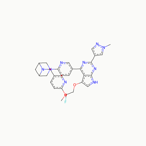 COc1ccc(CN2C3CC2CN(c2ccc(-c4nc(-c5cnn(C)c5)nc5[nH]cc(OCCF)c45)cn2)C3)cn1